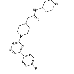 O=C(CN1CCN(c2nncc(-c3ccc(F)cc3)n2)CC1)NC1CCNCC1